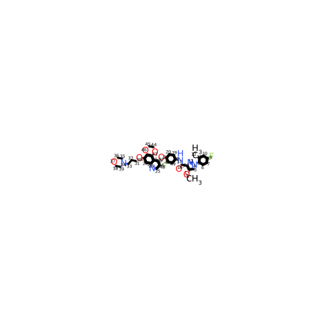 COc1cn(-c2ccc(F)cc2C)nc1C(=O)Nc1ccc(Oc2ccnc3cc(OCCCN4CCOCC4)c4c(c23)OCCO4)c(F)c1